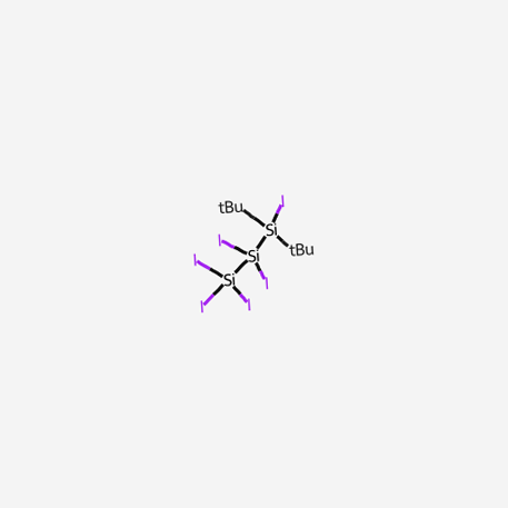 CC(C)(C)[Si](I)(C(C)(C)C)[Si](I)(I)[Si](I)(I)I